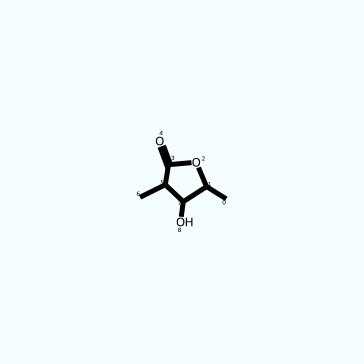 CC1OC(=O)C(C)C1O